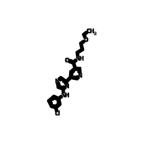 CCOCCCNC(=O)c1cncc(-c2cncc(Nc3cccc(Cl)c3)n2)c1